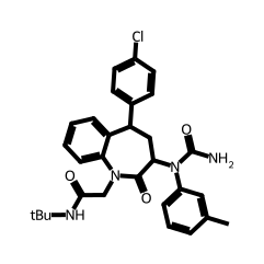 Cc1cccc(N(C(N)=O)C2CC(c3ccc(Cl)cc3)c3ccccc3N(CC(=O)NC(C)(C)C)C2=O)c1